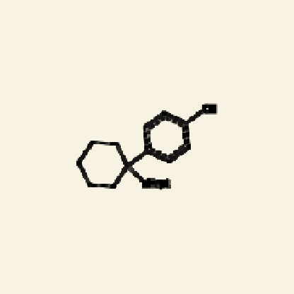 CCCCCCCC1(c2ccc(C#N)cc2)CCCCC1